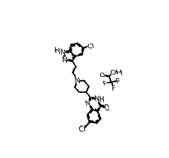 O=C(O)C(F)(F)F.O=c1[nH]c(C2CCN(CCc3n[nH]c4ccc(Cl)cc34)CC2)nc2cc(Cl)ccc12